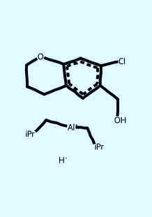 CC(C)[CH2][Al+][CH2]C(C)C.OCc1cc2c(cc1Cl)OCCC2.[H-]